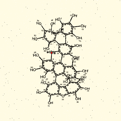 Oc1c(O)c(O)c(-c2c(O)c(O)c(-c3c4c(O)c(O)c(O)c(O)c4c(-c4c(O)c(O)c(O)c5oc6c(O)c(O)c(O)c(O)c6c45)c4c(O)c(O)c(O)c(O)c34)c(O)c2-c2c(O)c(O)c(O)c(O)c2O)c(O)c1O